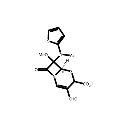 COC1(N(C(C)=O)c2cccs2)C(=O)N2C=C(C=O)C(C(=O)O)S[C@@H]21